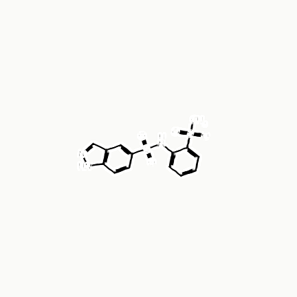 CS(=O)(=O)c1ccccc1NS(=O)(=O)c1ccc2[nH]ncc2c1